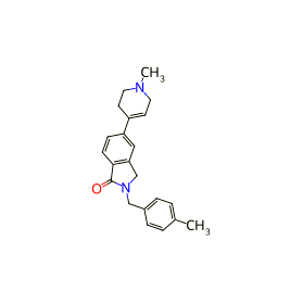 Cc1ccc(CN2Cc3cc(C4=CCN(C)CC4)ccc3C2=O)cc1